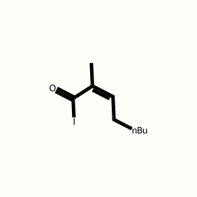 CCCCCC=C(C)C(=O)I